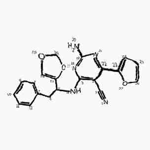 N#Cc1c(NC(Cc2ccccc2)C2=COCO2)nc(N)nc1-c1ccco1